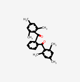 Cc1cc(C)c(C(=O)c2ccccc2C(=O)c2c(C)cc(C)cc2C)c(C)c1